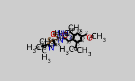 COCc1cc(C(C)C)c(CC(=O)N=S(N)(=O)c2cnc(C(C)(C)C)s2)c(C(C)C)c1